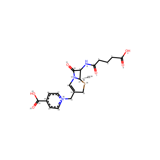 O=C(O)CCCC(=O)NC1C(=O)N2C=C(C[n+]3ccc(C(=O)O)cc3)CS[C@H]12